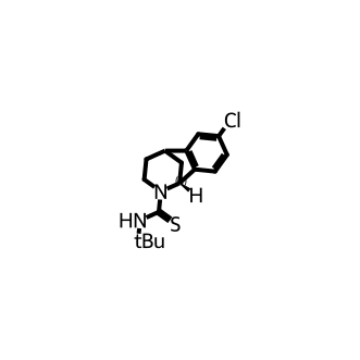 CC(C)(C)NC(=S)N1CCC2C[C@@H]1c1ccc(Cl)cc12